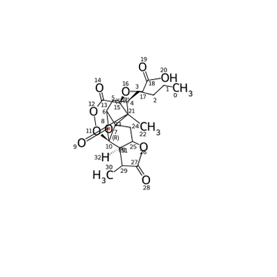 CCCC[C@@H]1CC2OC(=O)[C@]34OOC(=O)[C@@H](OCC(=O)O)C1(C)C23CC1OC(=O)C(C)[C@H]14